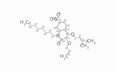 C=CCOc1c(OCC=C(C)C)c2ccc([N+](=O)[O-])cc2n(CCCCCCCC)c1=O